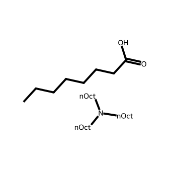 CCCCCCCC(=O)O.CCCCCCCCN(CCCCCCCC)CCCCCCCC